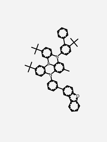 Cc1cc2c3c(c1)N(c1ccc(C(C)(C)C)c(-c4ccccc4)c1)c1ccc(C(C)(C)C)cc1B3c1cc(C(C)(C)C)ccc1N2c1cccc(-c2ccc3oc4ccccc4c3c2)c1